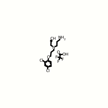 C#CCN(CCCN)CCCOc1ccc(Cl)cc1Cl.O=C(O)C(F)(F)F